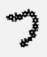 O=C1CC[C@H](N2C(=O)c3ccc(N4CCC(C(=O)N5CCC(CN6CCN(c7ccc(Nc8ncnc9c8ncn9C8CC(NC(=O)c9c(Cl)cccc9Cl)C8)cc7)CC6)CC5)CC4)cc3C2=O)C(=O)N1